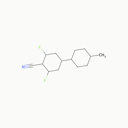 CC1CCC(C2CC(F)C(C#N)C(F)C2)CC1